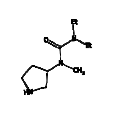 CCN(CC)C(=O)N(C)C1CCNC1